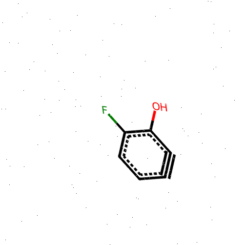 Oc1c#cccc1F